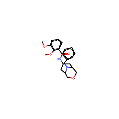 COc1cccc(C(=O)NC2CC3COCC(C2)N3Cc2ccccc2)c1OC